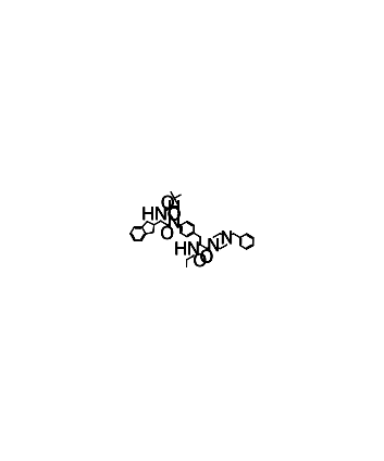 CCC(=O)NC(Cc1ccc(NC(=O)C(NC(=O)OC(C)(C)C)C2Cc3ccccc3C2)cc1)C(=O)N1CCN(Cc2ccccc2)CC1